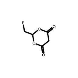 O=C1CC(=O)OC(CF)O1